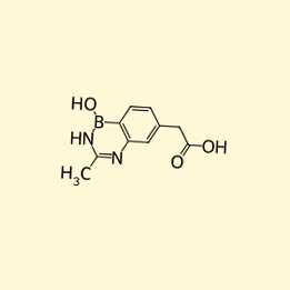 CC1=Nc2cc(CC(=O)O)ccc2B(O)N1